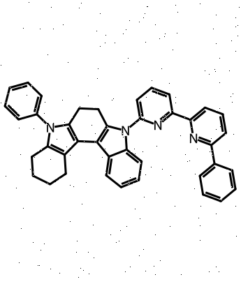 c1ccc(-c2cccc(-c3cccc(-n4c5c(c6ccccc64)-c4c6c(n(-c7ccccc7)c4CC5)CCCC6)n3)n2)cc1